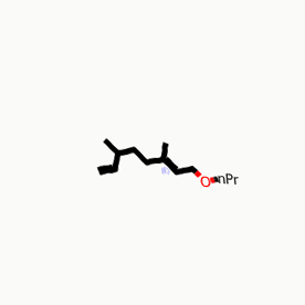 C=CC(C)CC/C(C)=C/COCCC